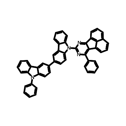 c1ccc(-c2nc(-n3c4ccccc4c4cc(-c5ccc6c(c5)c5ccccc5n6-c5ccccc5)ccc43)nc3c2-c2cccc4cccc-3c24)cc1